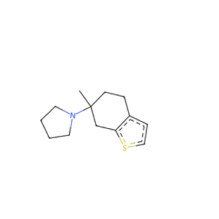 CC1(N2CCCC2)CCc2ccsc2C1